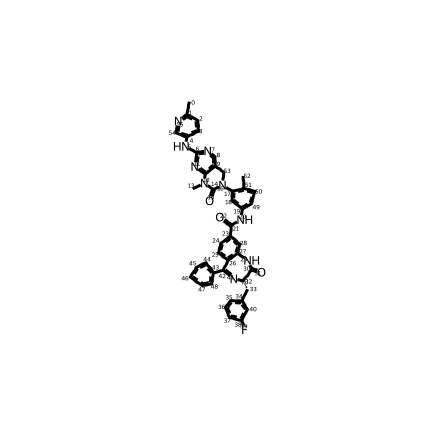 Cc1ccc(Nc2ncc3c(n2)N(C)C(=O)N(c2cc(NC(=O)c4ccc5c(c4)NC(=O)[C@H](Cc4cccc(F)c4)N=C5c4ccccc4)ccc2C)C3)cn1